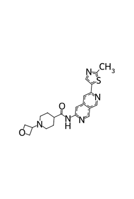 Cc1ncc(-c2cc3cc(NC(=O)C4CCN(C5COC5)CC4)ncc3cn2)s1